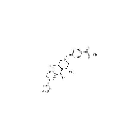 C[C@@H]1CN(Cc2ccc(C(=O)NO)cc2)C[C@H](C)N1C(=O)c1cccc(-c2ccoc2)c1